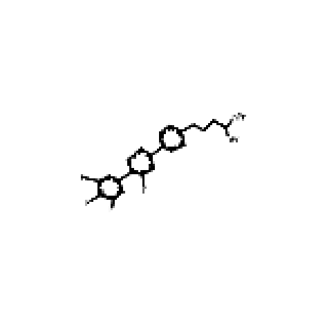 CCCC(CCC)CCCc1ccc(-c2ccc(-c3cc(F)c(F)c(F)c3)c(F)c2)cc1